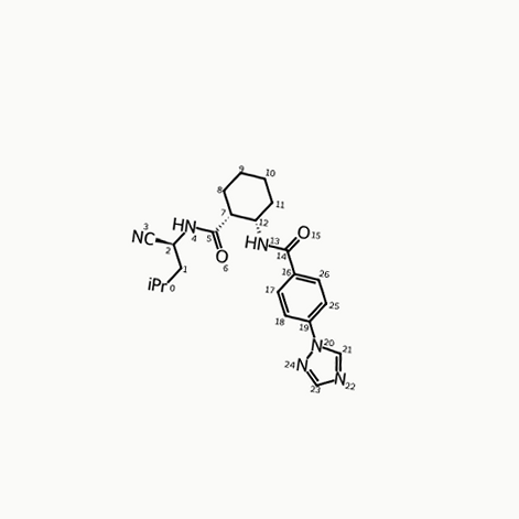 CC(C)C[C@@H](C#N)NC(=O)[C@@H]1CCCC[C@@H]1NC(=O)c1ccc(-n2cncn2)cc1